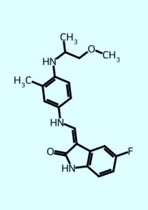 COCC(C)Nc1ccc(NC=C2C(=O)Nc3ccc(F)cc32)cc1C